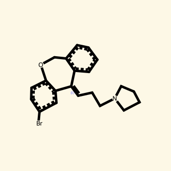 Brc1ccc2c(c1)/C(=C/CCN1CCCC1)c1ccccc1CO2